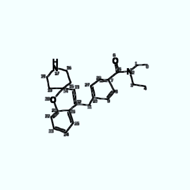 CCN(CC)C(=O)c1ccc(CC2=CC3(CCNCC3)Oc3ccccc32)cc1